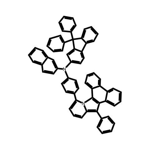 c1ccc(-c2c3c4ccccc4c4ccccc4c3n3c(-c4ccc(N(c5ccc6c(c5)C(c5ccccc5)(c5ccccc5)c5ccccc5-6)c5ccc6ccccc6c5)cc4)cccc23)cc1